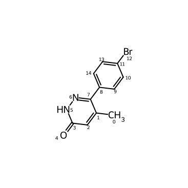 Cc1cc(=O)[nH]nc1-c1ccc(Br)cc1